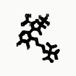 CC1C(c2ccc(F)c(F)c2OCCO[Si](C(C)C)(C(C)C)C(C)C)[C@H](C(=O)O)OC1(C)C(F)(F)F